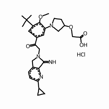 COc1c(N2CCC(OCC(=O)O)C2)cc(C(=O)CN2Cc3ccc(C4CC4)nc3C2=N)cc1C(C)(C)C.Cl